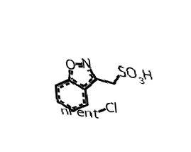 CCCCCCl.O=S(=O)(O)Cc1noc2ccccc12